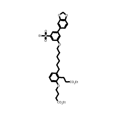 CCOC(=O)CCCOc1cccc(CCCCCCOc2cc(-c3ccc4c(c3)OCO4)cc(S(=O)(=O)CC)c2)c1CCC(=O)OCC